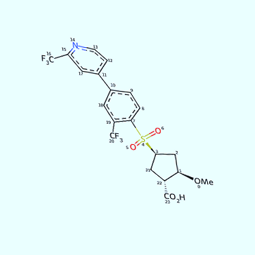 CO[C@@H]1C[C@H](S(=O)(=O)c2ccc(-c3ccnc(C(F)(F)F)c3)cc2C(F)(F)F)C[C@H]1C(=O)O